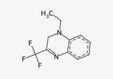 CCN1CC(C(F)(F)F)=Nc2ccccc21